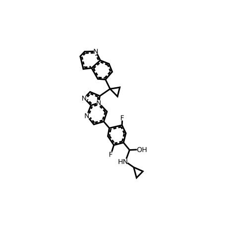 OC(NC1CC1)c1cc(F)c(-c2cnc3ncc(C4(c5ccc6ncccc6c5)CC4)n3c2)cc1F